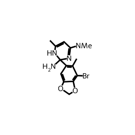 CNC1=NC(N)(c2cc3c(c(Br)c2C)OCO3)NC(C)=C1